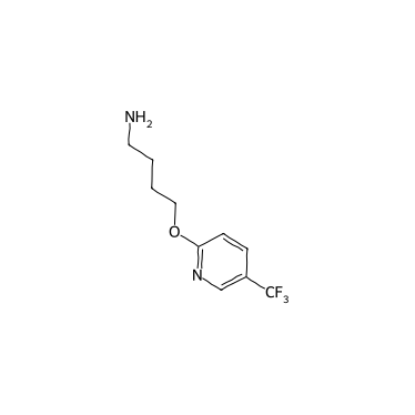 NCCCCOc1ccc(C(F)(F)F)cn1